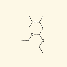 CCOC(CC(C)C(C)C)OCC